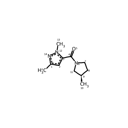 Cc1cc(C(=O)N2CC[C@@H](C)C2)n(C)n1